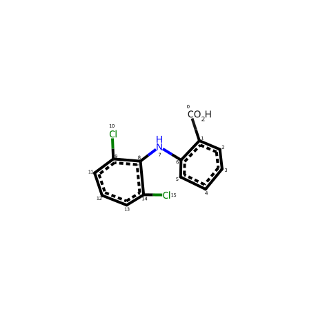 O=C(O)c1ccccc1Nc1c(Cl)cccc1Cl